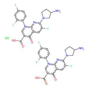 Cl.NC1CCN(c2nc3c(cc2F)c(=O)c(C(=O)O)cn3-c2ccc(F)cc2F)C1.NC1CCN(c2nc3c(cc2F)c(=O)c(C(=O)O)cn3-c2ccc(F)cc2F)C1